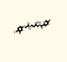 O=C(COc1ccc(Cl)c(F)c1)NCCC(O)CNC(=O)c1ccc(F)cn1